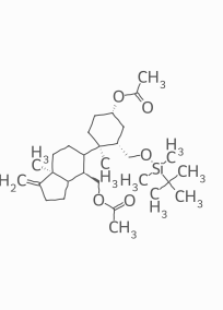 C=C1CCC2[C@H](COC(C)=O)C([C@@]3(C)CC[C@H](OC(C)=O)C[C@@H]3CO[Si](C)(C)C(C)(C)C)CC[C@]12C